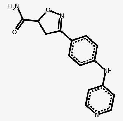 NC(=O)C1CC(c2ccc(Nc3ccncc3)cc2)=NO1